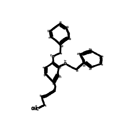 O=CCC=Cc1ccc(OCc2ccccc2)c(OCc2ccccc2)c1